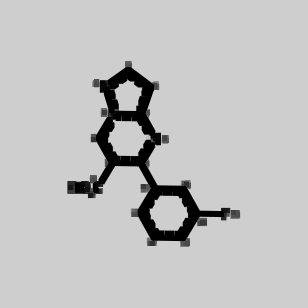 CCOC(=O)c1cn2nccc2nc1-c1cccc(F)c1